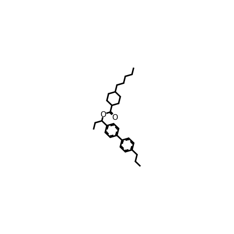 CCCCCC1CCC(C(=O)OC(CC)c2ccc(-c3ccc(CCC)cc3)cc2)CC1